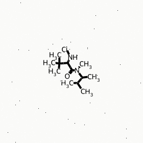 CC(C)C(C)N(C)C(=O)C(NCl)C(C)(C)C